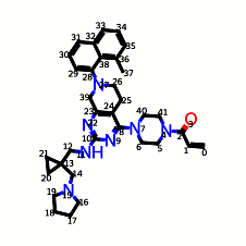 C=CC(=O)N1CCN(c2nc(NCC3(CN4CCCC4)CC3)nc3c2CCN(c2cccc4cccc(C)c24)C3)CC1